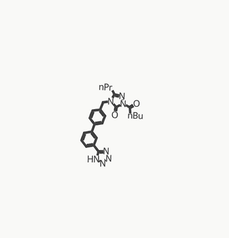 CCCCC(=O)n1nc(CCC)n(Cc2ccc(-c3cccc(-c4nnn[nH]4)c3)cc2)c1=O